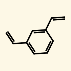 C=Cc1[c]ccc(C=C)c1